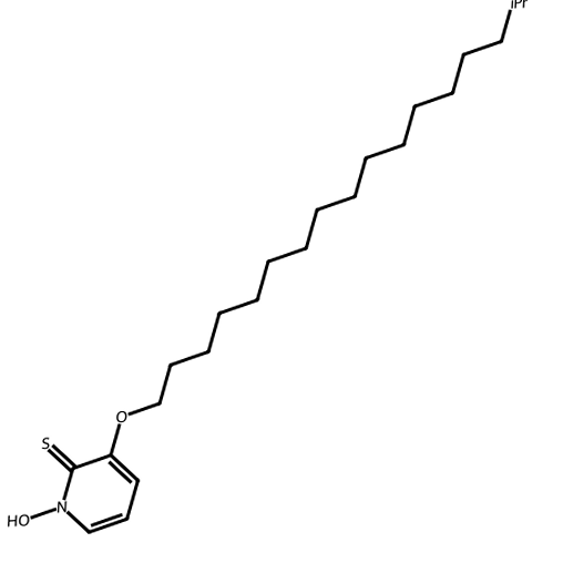 CC(C)CCCCCCCCCCCCCCCOc1cccn(O)c1=S